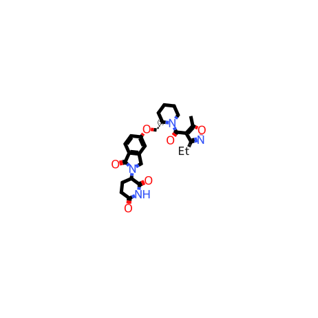 CCc1noc(C)c1C(=O)N1CCCC[C@H]1COc1ccc2c(c1)CN(C1CCC(=O)NC1=O)C2=O